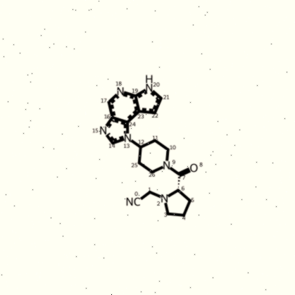 N#CCN1CCC[C@H]1C(=O)N1CCC(n2cnc3cnc4[nH]ccc4c32)CC1